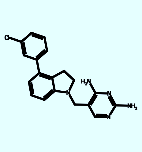 Nc1ncc(CN2CCc3c(-c4cccc(Cl)c4)cccc32)c(N)n1